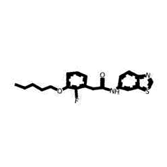 CCCCCOc1cccc(CC(=O)Nc2ccc3ncsc3c2)c1F